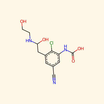 N#Cc1cc(CC(O)NCCO)c(Cl)c(NC(=O)O)c1